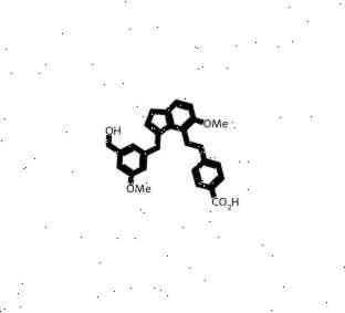 COc1cc(CO)cc(CC2=CCc3ccc(OC)c(CCc4ccc(C(=O)O)cc4)c32)c1